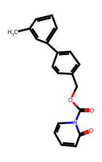 Cc1cccc(-c2ccc(COC(=O)n3ccccc3=O)cc2)c1